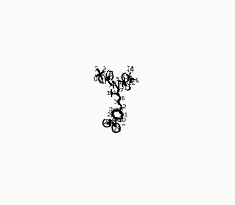 CC(C)(C)OC(=O)CN(CC(=O)OC(C)(C)C)CC(I)CCCc1ccc([N+](=O)[O-])cc1